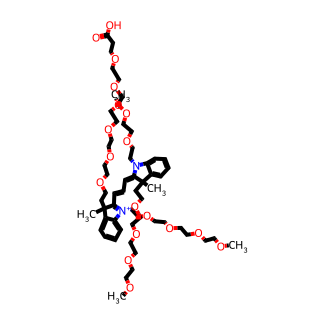 COCCOCCOCCOCC[N+]1=C(/C=C/C=C2/N(CCOCCOCCOCCOCCC(=O)O)c3ccccc3C2(C)CCOCCOCCOCCOC)C(C)(CCOCCOCCOCCOC)c2ccccc21